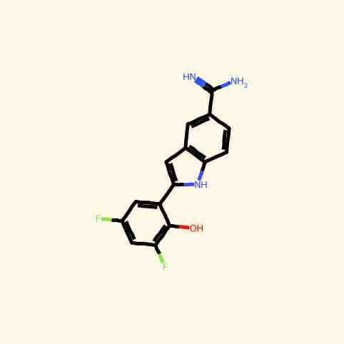 N=C(N)c1ccc2[nH]c(-c3cc(F)cc(F)c3O)cc2c1